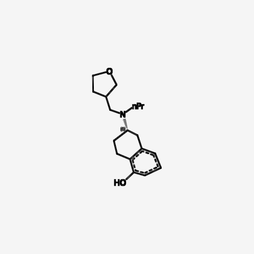 CCCN(CC1CCOC1)[C@H]1CCc2c(O)cccc2C1